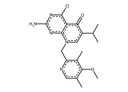 COc1c(C)cnc(Cn2cc(C(C)C)c(=O)c3c(Cl)nc(N)nc32)c1C